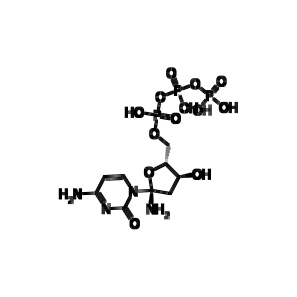 Nc1ccn([C@@]2(N)C[C@H](O)[C@@H](COP(=O)(O)OP(=O)(O)OP(=O)(O)O)O2)c(=O)n1